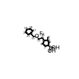 Cc1cc(B(O)O)ccc1[C@@H](CF)COCc1ccccc1